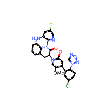 COc1cn(C(Cc2ccccc2)C(=O)Nc2ncc(F)cc2N)c(=O)cc1-c1cc(Cl)ccc1-n1cnnn1